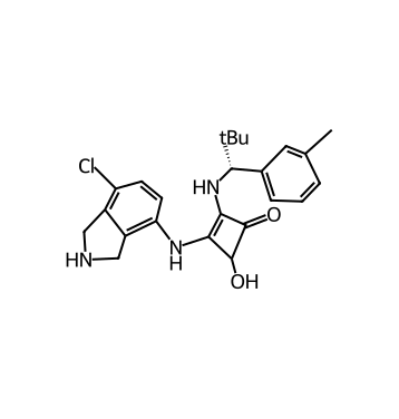 Cc1cccc([C@H](NC2=C(Nc3ccc(Cl)c4c3CNC4)C(O)C2=O)C(C)(C)C)c1